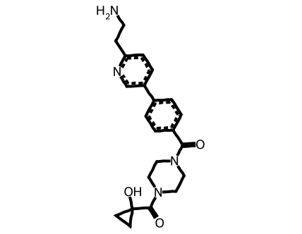 NCCc1ccc(-c2ccc(C(=O)N3CCN(C(=O)C4(O)CC4)CC3)cc2)cn1